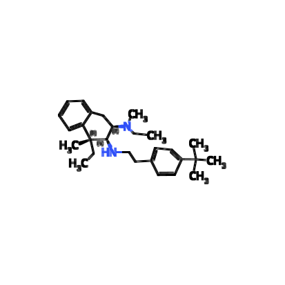 CCN(C)[C@@H]1Cc2ccccc2[C@@](C)(CC)[C@@H]1NCCc1ccc(C(C)(C)C)cc1